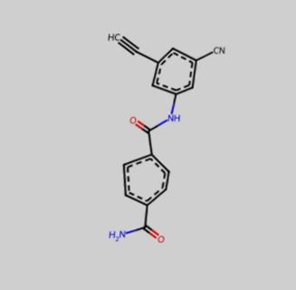 C#Cc1cc(C#N)cc(NC(=O)c2ccc(C(N)=O)cc2)c1